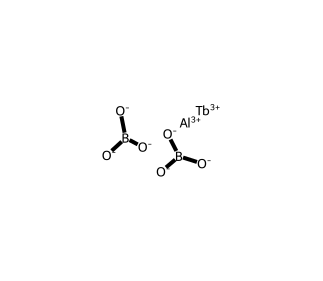 [Al+3].[O-]B([O-])[O-].[O-]B([O-])[O-].[Tb+3]